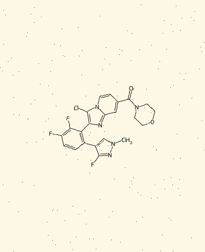 Cn1cc(-c2ccc(F)c(F)c2-c2nc3cc(C(=O)N4CCOCC4)ccn3c2Cl)c(F)n1